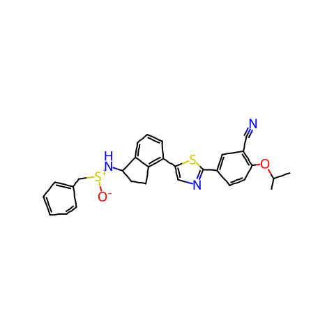 CC(C)Oc1ccc(-c2ncc(-c3cccc4c3CCC4N[S+]([O-])Cc3ccccc3)s2)cc1C#N